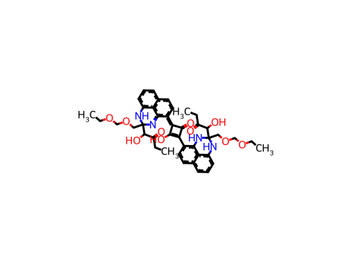 CCOCOCC1(C(O)C(=O)CC)N=c2/c(=C3/C(=O)C(c4ccc5cccc6c5c4NC(COCOCC)(C(O)C(=O)CC)N6)=C3O)ccc3cccc(c23)N1